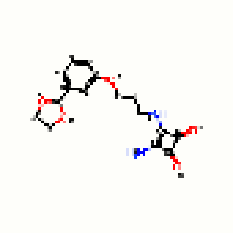 Nc1c(NCCCOc2cccc(C3OCCO3)c2)c(=O)c1=O